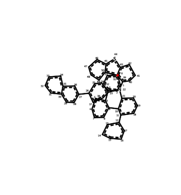 c1ccc(-c2ccccc2-c2c(-c3ccccc3)cccc2N(c2ccc(-c3ccc4ccccc4c3)cc2)c2cccc3sc4ccccc4c23)cc1